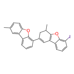 Cc1ccc2oc3c(C4=Cc5c(oc6c(I)cccc56)C(C)C4)cccc3c2c1